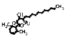 CCCCCCCCCCCC([S+]=O)C(C)CC(=O)C1C(C)C=CCC1(C)C